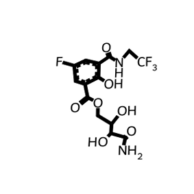 NC(=O)C(O)C(O)COC(=O)c1cc(F)cc(C(=O)NCC(F)(F)F)c1O